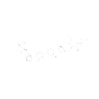 COC(=O)N[C@H](C(=O)N1CCC[C@H]1c1ncc(-c2ccc(-c3ccc(-c4cnc([C@@H]5CCCN5C(=O)[C@@H](NC(=O)O)C(C)C)[nH]4)cc3)cc2F)[nH]1)C(C)C